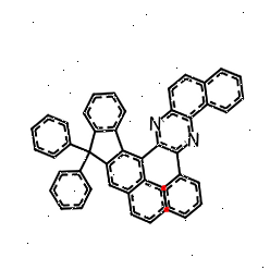 c1ccc(-c2nc3c(ccc4ccccc43)nc2-c2c3c(cc4ccccc24)C(c2ccccc2)(c2ccccc2)c2ccccc2-3)cc1